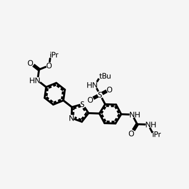 CC(C)NC(=O)Nc1ccc(-c2cnc(-c3ccc(NC(=O)OC(C)C)cc3)s2)c(S(=O)(=O)NC(C)(C)C)c1